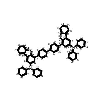 c1ccc(N(c2ccccc2)c2cc(-c3ccc(-c4ccc(-c5cc(N(c6ccccc6)c6ccccc6)cc6c5sc5ccccc56)cc4)cc3)c3sc4ccccc4c3c2)cc1